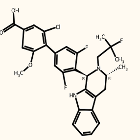 COc1cc(C(=O)O)cc(Cl)c1-c1cc(F)c([C@@H]2c3[nH]c4ccccc4c3C[C@@H](C)N2CC(C)(C)F)c(F)c1